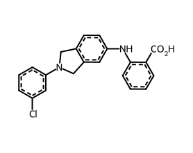 O=C(O)c1ccccc1Nc1ccc2c(c1)CN(c1cccc(Cl)c1)C2